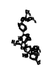 CC(C)Oc1ccc(C(=O)NC(C(=O)N2CCC(O)(c3ccc(Cl)cc3)C(C)(C)C2)C(C)C)cn1